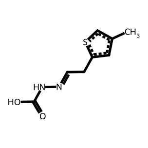 Cc1csc(CC=NNC(=O)O)c1